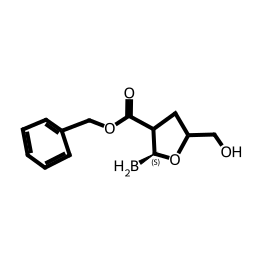 B[C@@H]1OC(CO)CC1C(=O)OCc1ccccc1